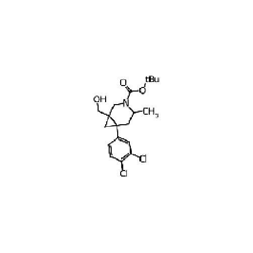 CC1CC2(c3ccc(Cl)c(Cl)c3)CC2(CO)CN1C(=O)OC(C)(C)C